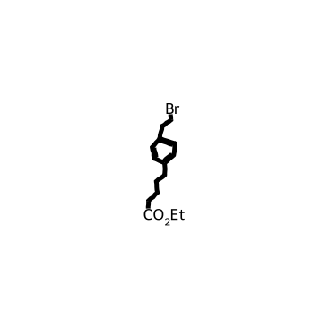 CCOC(=O)CCCCc1ccc(CCBr)cc1